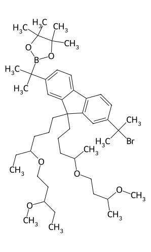 CCC(CCOC(CC)CCCC1(CCCC(C)OCCC(C)OC)c2cc(C(C)(C)Br)ccc2-c2ccc(C(C)(C)B3OC(C)(C)C(C)(C)O3)cc21)OC